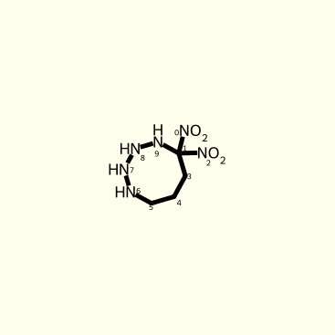 O=[N+]([O-])C1([N+](=O)[O-])CCCNNNN1